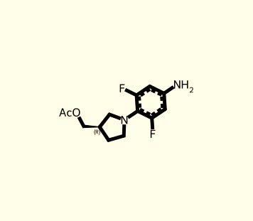 CC(=O)OC[C@@H]1CCN(c2c(F)cc(N)cc2F)C1